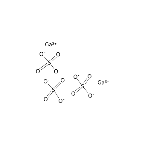 O=S(=O)([O-])[O-].O=S(=O)([O-])[O-].O=S(=O)([O-])[O-].[Ga+3].[Ga+3]